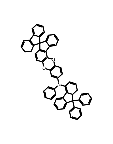 C1=CC2=C(CC1)C1(c3ccccc32)c2ccccc2-c2c1ccc1c2Oc2ccc(N(C3=C4c5ccccc5C(c5ccccc5)(c5ccccc5)C4CC=C3)c3ccccc3)cc2O1